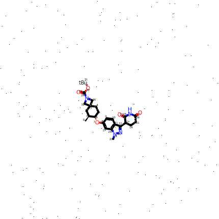 C[C@H]1CC2(CC[C@@H]1Oc1ccc3c(C4CCC(=O)NC4=O)nn(C)c3c1)CN(C(=O)OC(C)(C)C)C2